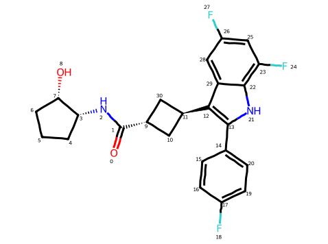 O=C(N[C@@H]1CCC[C@@H]1O)[C@H]1C[C@H](c2c(-c3ccc(F)cc3)[nH]c3c(F)cc(F)cc32)C1